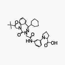 CC(C)(C)C(=O)CN1C(=O)N(CC(=O)Nc2cccc(N3CCCC3C(=O)O)c2)N=C(C2CCCCC2)c2ccccc21